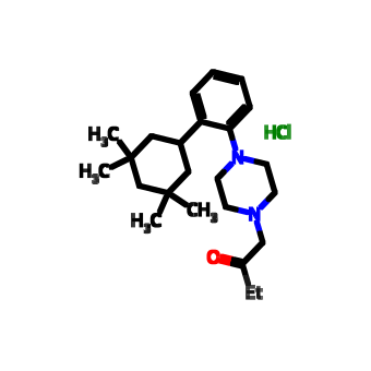 CCC(=O)CN1CCN(c2ccccc2C2CC(C)(C)CC(C)(C)C2)CC1.Cl